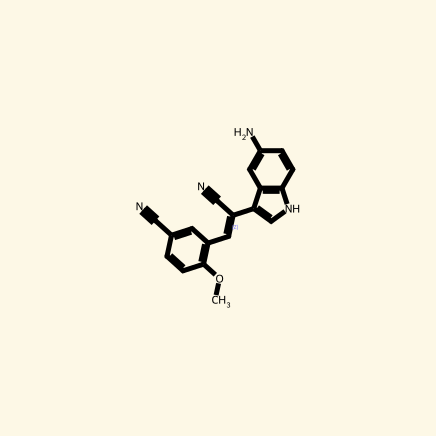 COc1ccc(C#N)cc1/C=C(\C#N)c1c[nH]c2ccc(N)cc12